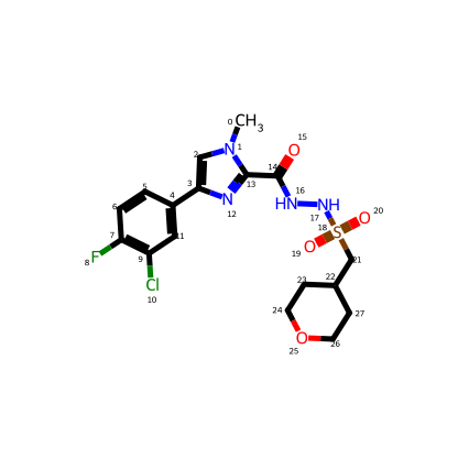 Cn1cc(-c2ccc(F)c(Cl)c2)nc1C(=O)NNS(=O)(=O)CC1CCOCC1